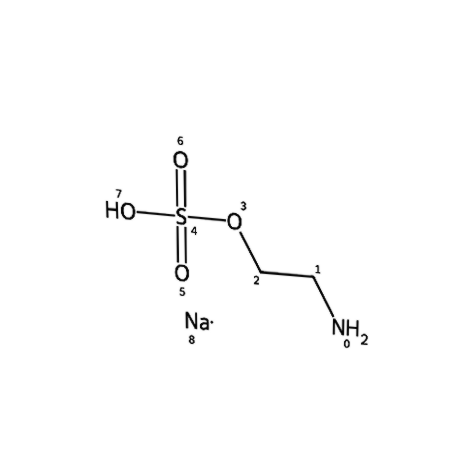 NCCOS(=O)(=O)O.[Na]